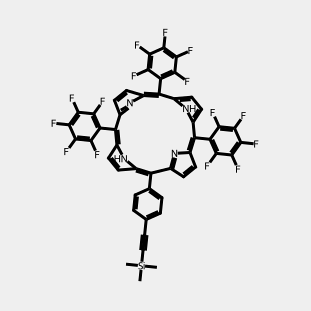 C[Si](C)(C)C#Cc1ccc(-c2c3nc(c(-c4c(F)c(F)c(F)c(F)c4F)c4ccc([nH]4)c(-c4c(F)c(F)c(F)c(F)c4F)c4nc(c(-c5c(F)c(F)c(F)c(F)c5F)c5ccc2[nH]5)C=C4)C=C3)cc1